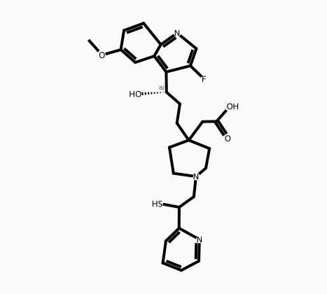 COc1ccc2ncc(F)c([C@@H](O)CCC3(CC(=O)O)CCN(CC(S)c4ccccn4)CC3)c2c1